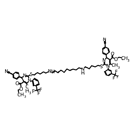 CCOC(=O)C1=C(C)N(c2cccc(C(F)(F)F)c2)C(SCCCCCNCCCCCCCCCCNCCCCCSC2=NC(c3ccc(C#N)cc3)C(C(=O)OCC)=C(C)N2c2cccc(C(F)(F)F)c2)=NC1c1ccc(C#N)cc1